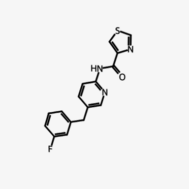 O=C(Nc1ccc(Cc2cccc(F)c2)cn1)c1cscn1